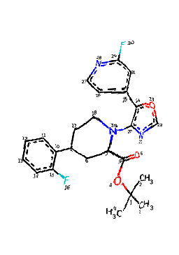 CC(C)(C)OC(=O)C1CC(c2ccccc2F)CCN1c1ncoc1-c1ccnc(F)c1